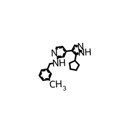 Cc1cccc(CNc2cc(-c3cn[nH]c3C3CCCC3)ccn2)c1